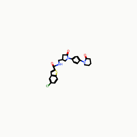 O=C(NCC1CC(=O)N(c2ccc(N3CCCCC3=O)cc2)C1)c1cc2cc(Cl)ccc2s1